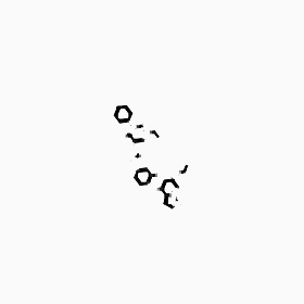 CCn1cc(OC(=O)Nc2ccc(Oc3cc(NC(C)=O)cn4nccc34)c(F)c2)c(=O)n(-c2ccc(F)cc2)c1=O